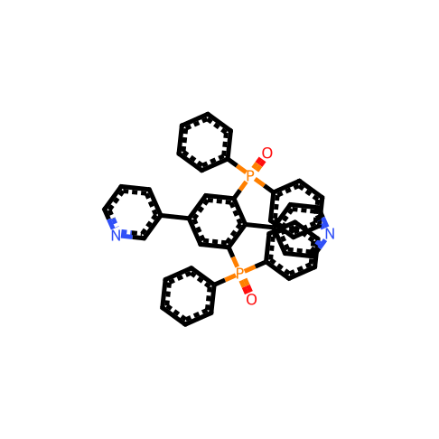 O=P(c1ccccc1)(c1ccccc1)c1cc(-c2cccnc2)cc(P(=O)(c2ccccc2)c2ccccc2)c1-c1ccncc1